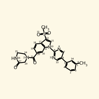 Cc1cccc(-c2cnc(-n3cc(S(C)(=O)=O)c4ccc(C(=O)N5CCNC(=O)C5)cc43)nc2)c1